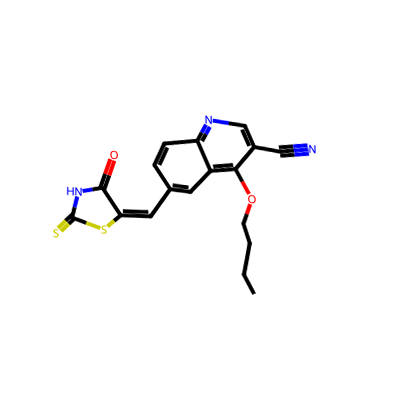 CCCCOc1c(C#N)cnc2ccc(C=C3SC(=S)NC3=O)cc12